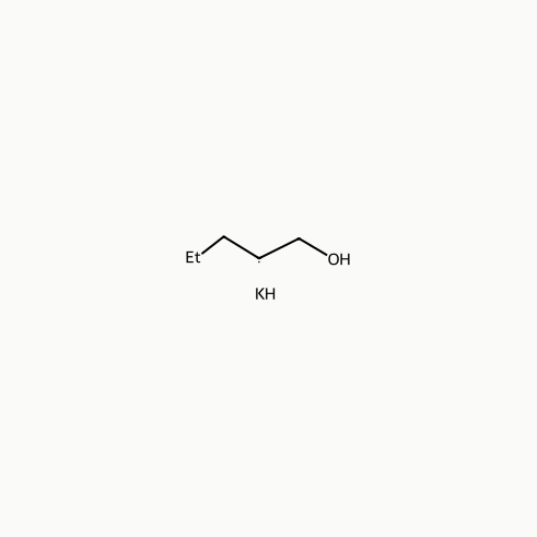 CCC[CH]CO.[KH]